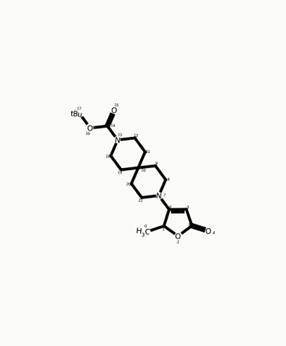 CC1OC(=O)C=C1N1CCC2(CCN(C(=O)OC(C)(C)C)CC2)CC1